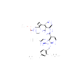 COc1ccc(Cn2c3nccc(-c4nc(N5CCN(C(=O)OC(C)(C)C)CC5)c5c(C6=CC=C6)cncc5n4)c3n3cc(C)nc23)c(OC)c1